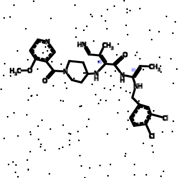 C/C=C(\NCc1ccc(Cl)c(Cl)c1)NC(=O)/C(NC1CCN(C(=O)c2cnccc2OC)CC1)=C(\C)C=N